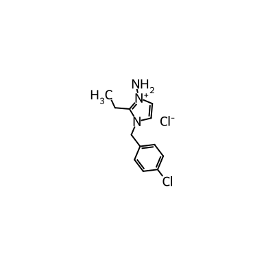 CCc1n(Cc2ccc(Cl)cc2)cc[n+]1N.[Cl-]